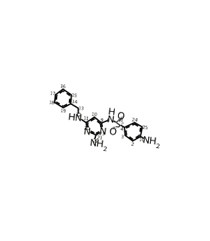 Nc1ccc(S(=O)(=O)Nc2cc(NCc3ccccc3)nc(N)n2)cc1